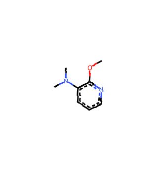 COc1ncccc1N(C)C